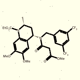 CCOC(=O)N1c2cc(OC)c(OC)cc2[C@@H](N(Cc2cc(C(F)(F)F)cc(C(F)(F)F)c2)C(=O)CC(=O)OC)C[C@H]1C